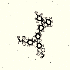 C=CC(=O)Oc1ccc(N(c2ccc(OC(=O)C=C)cc2)c2ccc(-c3ccc(N(c4ccccc4)c4ccc(C)cc4)cc3)cc2)cc1